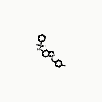 O=S(=O)(Nc1ccc2c(cnn2Cc2ccc(F)cc2)c1)c1ccccc1